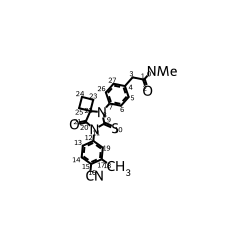 CNC(=O)Cc1ccc(N2C(=S)N(c3ccc(C#N)c(C)c3)C(=O)C23CCC3)cc1